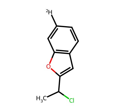 [2H]c1ccc2cc(C(C)Cl)oc2c1